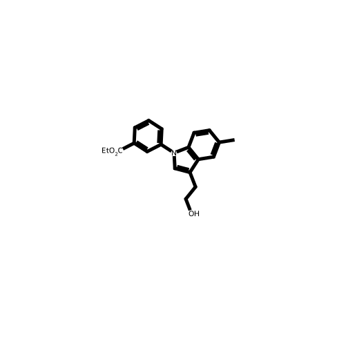 CCOC(=O)c1cccc(-n2cc(CCO)c3cc(C)ccc32)c1